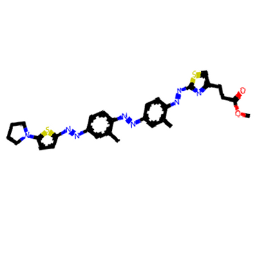 COC(=O)CCc1csc(/N=N/c2ccc(/N=N/c3ccc(/N=N/c4ccc(N5CCCC5)s4)cc3C)cc2C)n1